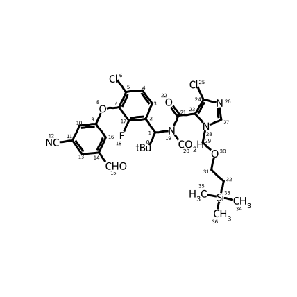 CC(C)(C)C(c1ccc(Cl)c(Oc2cc(C#N)cc(C=O)c2)c1F)N(C(=O)O)C(=O)c1c(Cl)ncn1COCC[Si](C)(C)C